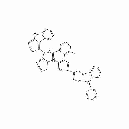 Cc1ccc(-c2ccc3c(c2)c2ccccc2n3-c2ccccc2)cc1-c1c(C)cccc1-c1nc(-c2cccc3oc4ccccc4c23)c2ccccc2n1